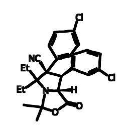 CCC1(CC)N2[C@@H](C(=O)OC2(C)C)[C@H](c2cccc(Cl)c2)[C@@]1(C#N)c1ccc(Cl)cc1